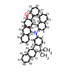 CC1(C)c2ccc(N(c3ccc4ccccc4c3-c3cccc4oc5ccccc5c34)c3cccc4ccccc34)cc2-c2cc3ccccc3cc21